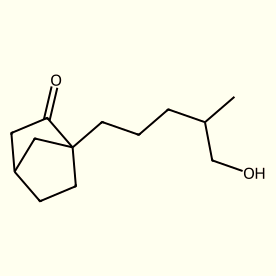 CC(CO)CCCC12CCC(CC1=O)C2